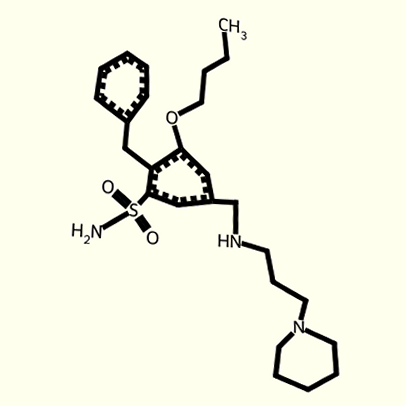 CCCCOc1cc(CNCCCN2CCCCC2)cc(S(N)(=O)=O)c1Cc1ccccc1